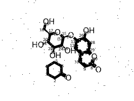 O=C1CCCCC1.O=c1ccc2cc(O[C@@H]3O[C@H](CO)[C@@H](O)[C@H](O)[C@H]3O)c(O)cc2o1